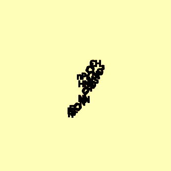 CCCc1ccc(C)cc1N1C(=O)CSC1=NC(=O)Nc1ccc(-c2ncn(-c3ccc(S(F)(F)(F)(F)F)cc3)n2)cc1F